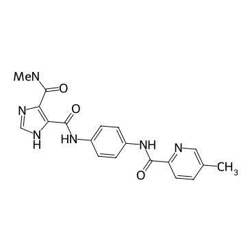 CNC(=O)c1nc[nH]c1C(=O)Nc1ccc(NC(=O)c2ccc(C)cn2)cc1